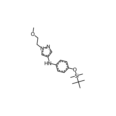 COCCn1cc(Nc2ccc(O[Si](C)(C)C(C)(C)C)cc2)cn1